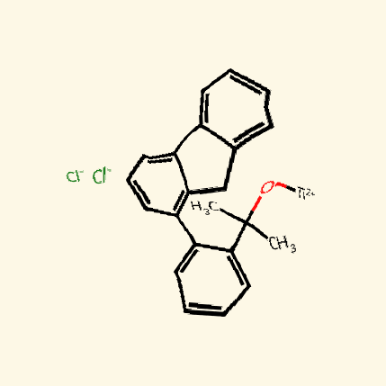 CC(C)([O][Ti+2])c1ccccc1-c1cccc2c1Cc1ccccc1-2.[Cl-].[Cl-]